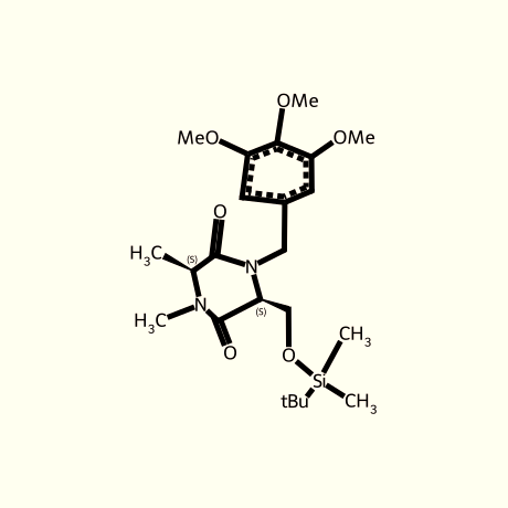 COc1cc(CN2C(=O)[C@H](C)N(C)C(=O)[C@@H]2CO[Si](C)(C)C(C)(C)C)cc(OC)c1OC